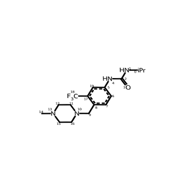 CC(C)NC(=O)Nc1ccc(CN2CCN(C)CC2)c(C(F)(F)F)c1